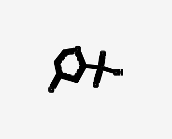 O=c1ccoc(S(=O)(=O)O)c1